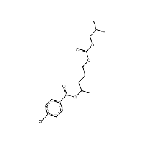 CC(C)COC(=O)OCCCC(C)OC(=O)c1ccc(Cl)cc1